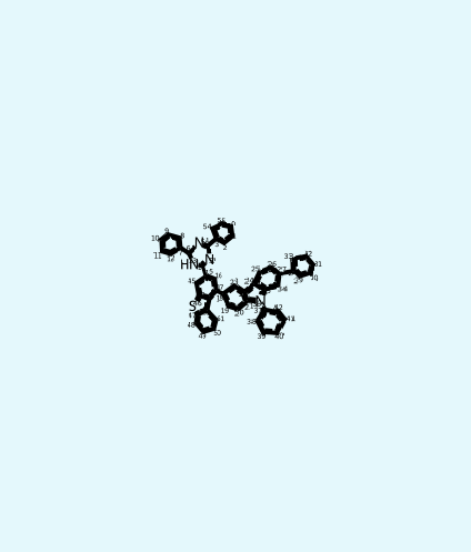 c1ccc(C2=NC(c3ccccc3)NC(c3cc(-c4ccc5c(c4)c4ccc(-c6ccccc6)cc4n5-c4ccccc4)c4c(c3)sc3ccccc34)=N2)cc1